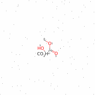 COC=O.O=C(O)O